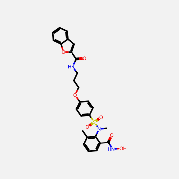 Cc1cccc(C(=O)NO)c1N(C)S(=O)(=O)c1ccc(OCCCNC(=O)c2cc3ccccc3o2)cc1